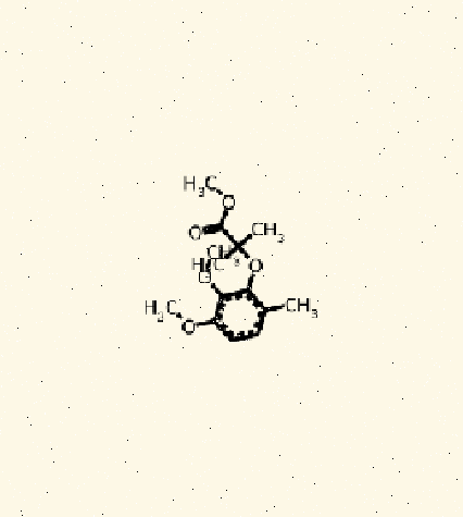 COC(=O)C(C)(C)Oc1c(C)ccc(OC)c1OC